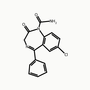 NC(=O)N1C(=O)[CH]N=C(c2ccccc2)c2cc(Cl)ccc21